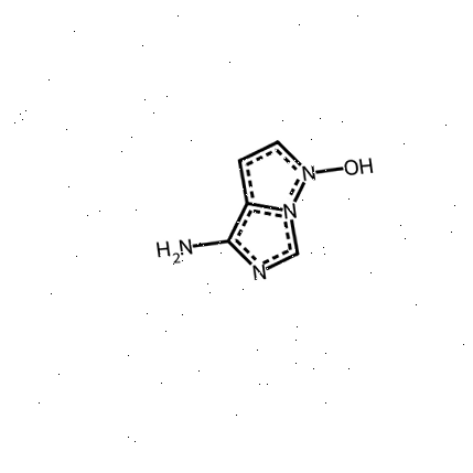 Nc1ncn2c1ccn2O